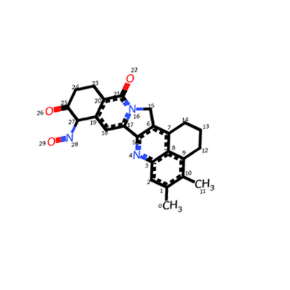 Cc1cc2nc3c(c4c2c(c1C)CCC4)Cn1c-3cc2c(c1=O)CCC(=O)C2N=O